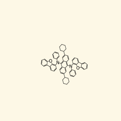 c1ccc(N(c2c3ccc(C4CCCCC4)cc3c(N(c3ccccc3)c3cccc4c3oc3ccccc34)c3ccc(C4CCCCC4)cc23)c2cccc3c2oc2ccccc23)cc1